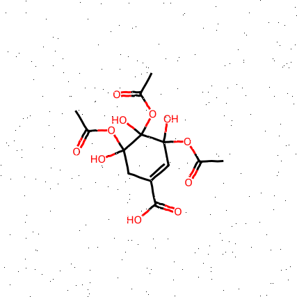 CC(=O)OC1(O)C=C(C(=O)O)CC(O)(OC(C)=O)C1(O)OC(C)=O